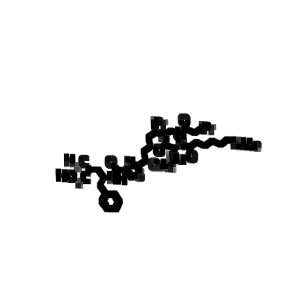 CC[C@H](C)[C@H](NC(=O)CCCCCNC)C(=O)N(COC(=O)CC(C)C)[C@H](CCC[C@@H](OC(C)=O)c1nc(C(=O)N[C@@H](Cc2ccccc2)C[C@H](C)C(=O)O)cs1)C(C)C